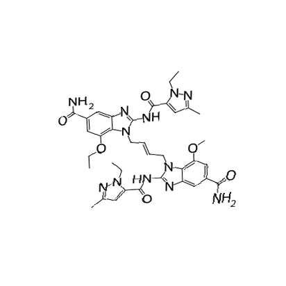 CCOc1cc(C(N)=O)cc2nc(NC(=O)c3cc(C)nn3CC)n(C/C=C/Cn3c(NC(=O)c4cc(C)nn4CC)nc4cc(C(N)=O)cc(OC)c43)c12